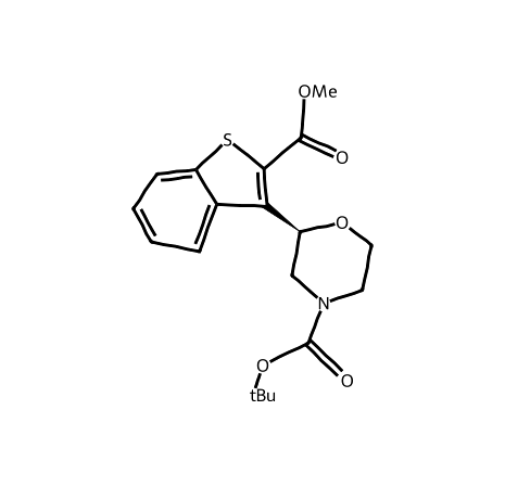 COC(=O)c1sc2ccccc2c1[C@@H]1CN(C(=O)OC(C)(C)C)CCO1